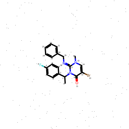 CC(c1ccc(F)cc1)n1c(=O)c(Br)cn(C)/c1=N\Cc1ccccc1